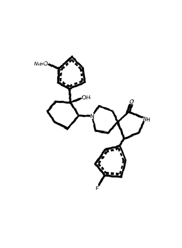 COc1cccc(C2(O)CCCCC2N2CCC3(CC2)C(=O)NCC3c2ccc(F)cc2)c1